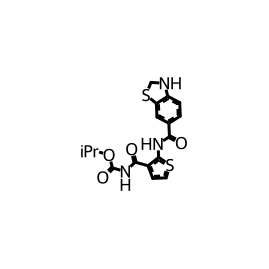 CC(C)OC(=O)NC(=O)c1ccsc1NC(=O)c1ccc2c(c1)SCN2